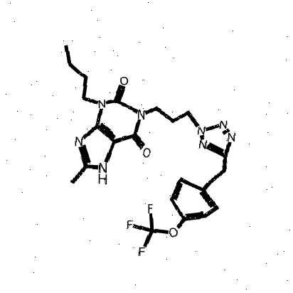 CCCCn1c(=O)n(CCCn2nnc(Cc3ccc(OC(F)(F)F)cc3)n2)c(=O)c2[nH]c(C)nc21